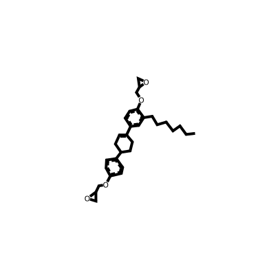 CCCCCCCc1cc(C2=CCC(c3ccc(OCC4CO4)cc3)CC2)ccc1OCC1CO1